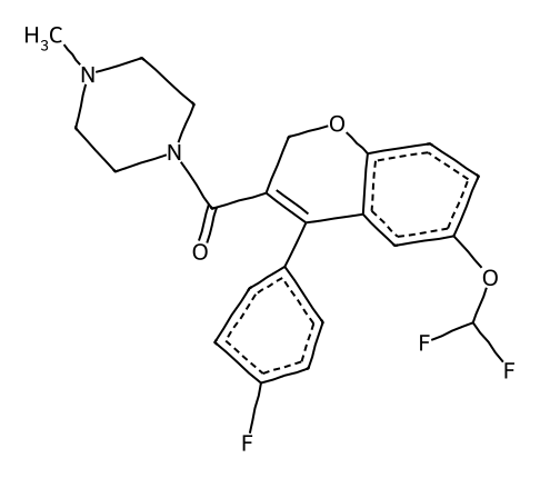 CN1CCN(C(=O)C2=C(c3ccc(F)cc3)c3cc(OC(F)F)ccc3OC2)CC1